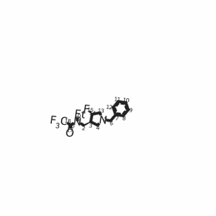 CCN(C[C@@H]1CN(Cc2ccccc2)C[C@@H]1F)C(=O)C(F)(F)F